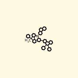 CC1(c2ccccc2)c2ccccc2-c2c(N(c3cccc(-c4ccc5c(c4)c(-c4ccccc4)c(-c4ccccc4)c4ccccc45)c3)c3ccc4c(ccc5ccccc54)c3)cccc21